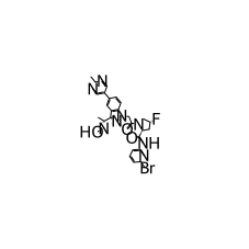 C/C(=N\O)c1nn(CC(=O)N2C[C@H](F)C[C@H]2C(=O)Nc2cccc(Br)n2)c2ccc(-c3cnc(C)nc3)cc12